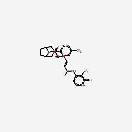 CC(/C=C/CNC(=O)N1C2CCC1CN(c1ncc(C(F)(F)F)cn1)C2)Nc1cn[nH]c(=O)c1C(F)(F)F